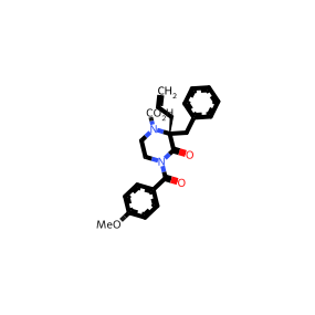 C=CC[C@@]1(Cc2ccccc2)C(=O)N(C(=O)c2ccc(OC)cc2)CCN1C(=O)O